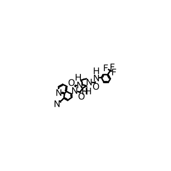 N#Cc1ccc(N2C(=O)[C@@H]3[C@@H]4C[C@@H](CN4C(=O)Nc4cccc(C(F)(F)F)c4)N3C2=O)c2cccnc12